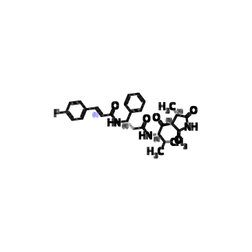 CC(C)[C@H](NC(=O)C[C@H](NC(=O)/C=C/c1ccc(F)cc1)c1ccccc1)C(=O)[C@@H]1C(=O)NC(=O)[C@H]1C